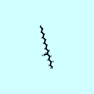 CCCCCCCCCCC(I)CCCCI